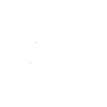 CC1C[C@@]12Cc1c(N)noc1-c1cc(Br)ccc12